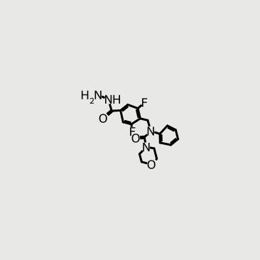 NNC(=O)c1cc(F)c(CN(C(=O)N2CCOCC2)c2ccccc2)c(F)c1